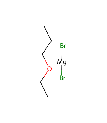 CCCOCC.[Br][Mg][Br]